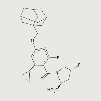 O=C(O)[C@@H]1C[C@@H](F)CN1C(=O)c1c(F)cc(OCC23CC4CC(CC(C4)C2)C3)cc1C1CC1